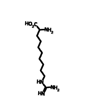 N=C(N)NCCCCCCCCC(N)C(=O)O